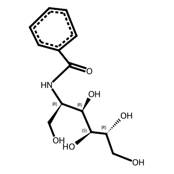 O=C(N[C@H](CO)[C@@H](O)[C@H](O)[C@H](O)CO)c1ccccc1